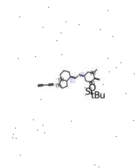 C#CC#C[C@H]1CCC2/C(=C/C=C3/C[C@@H](C)C(=C)[C@H](O[Si](C)(C)C(C)(C)C)C3)CCC[C@@]21C